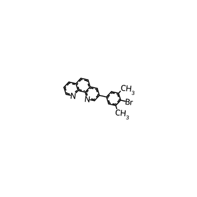 Cc1cc(-c2cnc3c(ccc4cccnc43)c2)cc(C)c1Br